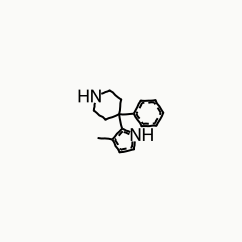 Cc1cc[nH]c1C1(c2ccccc2)CCNCC1